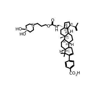 C=C(C)[C@@H]1CC[C@]2(CNC(=O)OCCCN3CCS(O)(O)CC3)CC[C@]3(C)[C@H](CC[C@@H]4[C@@]5(C)CC=C(c6ccc(C(=O)O)cc6)C(C)(C)[C@@H]5CC[C@]43C)[C@@H]12